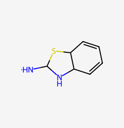 [NH]C1NC2C=CC=CC2S1